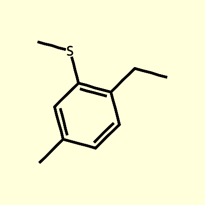 CCc1ccc(C)cc1SC